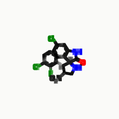 O=C1Nc2cc(Cl)ccc2[C@]12NCC([N+](=O)[O-])[C@@H]2c1cccc(Cl)c1F